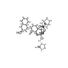 CN1CCC[C@H]1COc1nc(N2CC3CCC(C2)N3C(=O)OC(C)(C)C)c2ccc(-c3cc(O)cc4ccccc34)c(F)c2n1